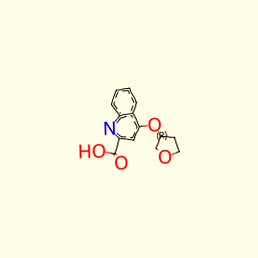 O=C(O)c1cc(O[C@@H]2CCOC2)c2ccccc2n1